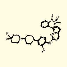 COc1cc(N2CCC(N3CCC(F)(F)CC3)CC2)ccc1Nc1ncc2ccc(-c3ccccc3N(C)S(C)(=O)=O)n2n1